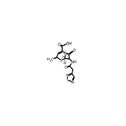 CC1C=C(C(=O)O)N2C(=O)C(NC(=O)Cc3cnsn3)[C@H]2S1